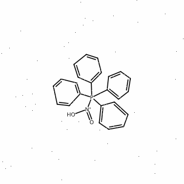 O=[N+](O)P(c1ccccc1)(c1ccccc1)(c1ccccc1)c1ccccc1